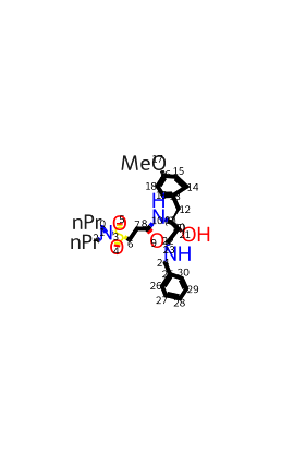 CCCN(CCC)S(=O)(=O)CCC(=O)N[C@@H](Cc1ccc(OC)cc1)[C@@H](O)CNCc1ccccc1